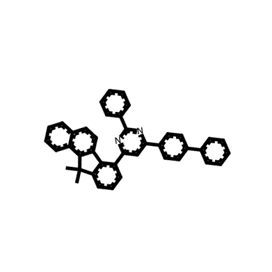 CC1(C)c2cccc(-c3cc(-c4ccc(-c5ccccc5)cc4)nc(-c4ccccc4)n3)c2-c2ccc3ccccc3c21